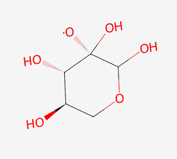 [O][C@]1(O)C(O)OC[C@@H](O)[C@@H]1O